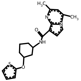 Cc1cc(C)n2ccc(C(=O)NC3CCCC(Oc4cccs4)C3)c2n1